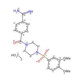 CC(=O)O.COc1ccc(S(=O)(=O)N2CCN(C(=O)c3ccc(C(=N)N)cc3)CC2)cc1OC